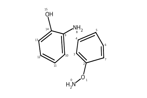 NOc1ccccc1.Nc1ccccc1O